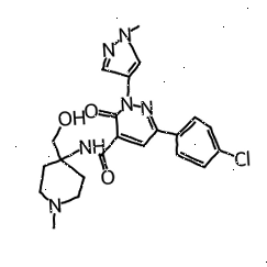 CN1CCC(CO)(NC(=O)c2cc(-c3ccc(Cl)cc3)nn(-c3cnn(C)c3)c2=O)CC1